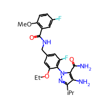 CCOc1cc(CNC(=O)c2cc(F)ccc2OC)cc(F)c1-n1nc(C(C)C)c(N)c1C(N)=O